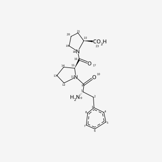 N[C@@H](Cc1ccccc1)C(=O)N1CCC[C@H]1C(=O)N1CCC[C@H]1C(=O)O